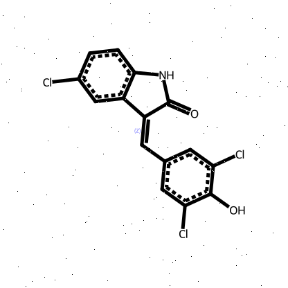 O=C1Nc2ccc(Cl)cc2/C1=C/c1cc(Cl)c(O)c(Cl)c1